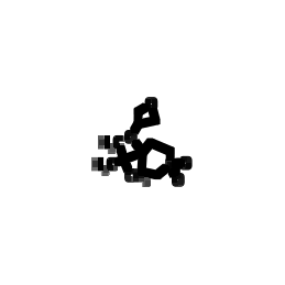 CC(C)(C)C1(OC2COC2)CCS(=O)(=O)CC1